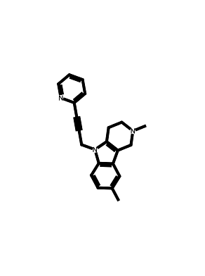 Cc1ccc2c(c1)c1c(n2CC#Cc2ccccn2)CCN(C)C1